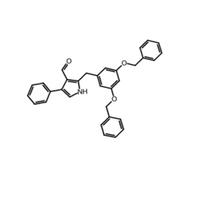 O=Cc1c(-c2ccccc2)c[nH]c1Cc1cc(OCc2ccccc2)cc(OCc2ccccc2)c1